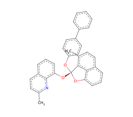 Cc1ccc2cccc(O[C@]3(Oc4ccc(-c5ccccc5)cc4)Oc4cccc5ccc(C)c3c45)c2n1